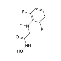 CN(CC(=O)NO)c1c(F)cccc1F